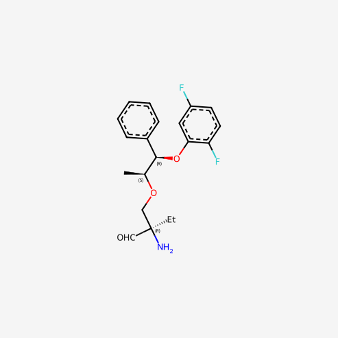 CC[C@](N)(C=O)CO[C@@H](C)[C@H](Oc1cc(F)ccc1F)c1ccccc1